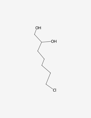 OCC(O)CCCCCCl